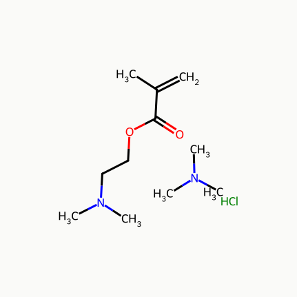 C=C(C)C(=O)OCCN(C)C.CN(C)C.Cl